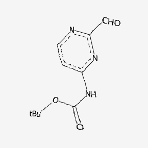 CC(C)(C)OC(=O)Nc1ccnc(C=O)n1